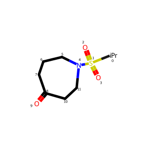 CC(C)S(=O)(=O)N1CCCC(=O)CC1